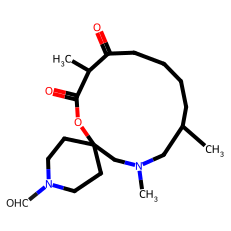 CC1CCCCC(=O)C(C)C(=O)OC2(CCN(C=O)CC2)CN(C)C1